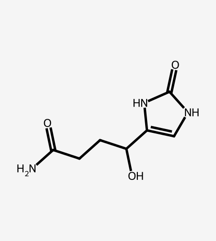 NC(=O)CCC(O)c1c[nH]c(=O)[nH]1